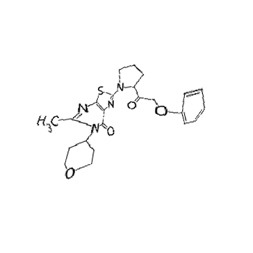 Cc1nc2sc(N3CCCC3C(=O)COc3ccccc3)nc2c(=O)n1C1CCOCC1